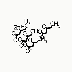 CCC(=O)CC(=O)[O-].CCC(=O)CC(=O)[O-].CCC(=O)CC(=O)[O-].CCC(=O)CC(=O)[O-].[Zr+4]